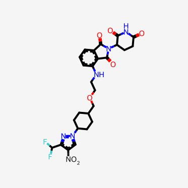 O=C1CCC(N2C(=O)c3cccc(NCCOCC4CCC(n5cc([N+](=O)[O-])c(C(F)F)n5)CC4)c3C2=O)C(=O)N1